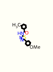 COc1ccc(-c2nnc(NC(=O)c3cccc(C)c3)s2)cc1